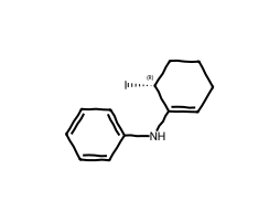 I[C@@H]1CCCC=C1Nc1ccccc1